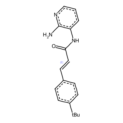 CC(C)(C)c1ccc(/C=C/C(=O)Nc2cccnc2N)cc1